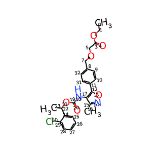 CCOC(=O)COCc1ccc(-c2onc(C)c2NC(=O)OC(C)c2ccccc2Cl)cc1